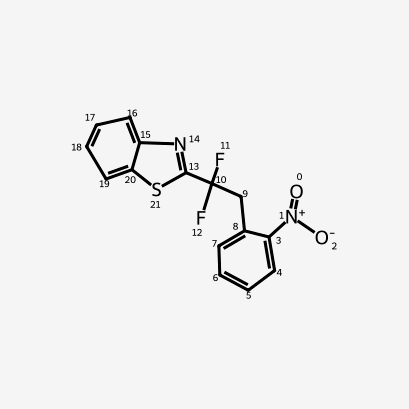 O=[N+]([O-])c1ccccc1CC(F)(F)c1nc2ccccc2s1